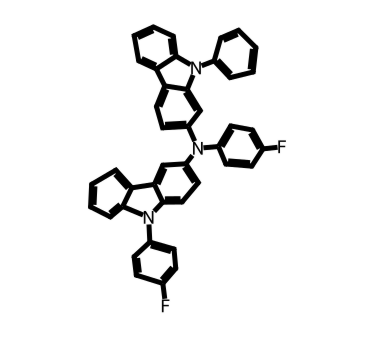 Fc1ccc(N(c2ccc3c(c2)c2ccccc2n3-c2ccc(F)cc2)c2ccc3c4ccccc4n(-c4ccccc4)c3c2)cc1